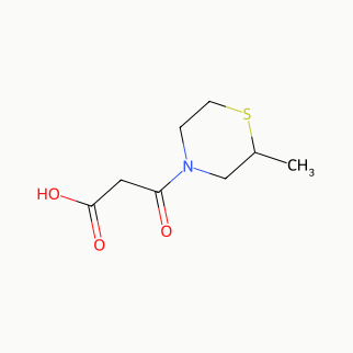 CC1CN(C(=O)CC(=O)O)CCS1